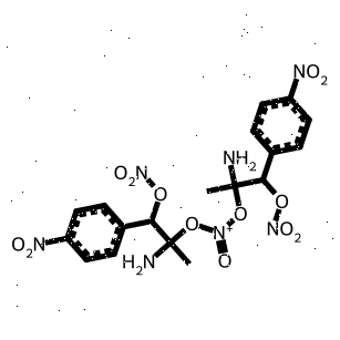 CC(N)(O[N+](=O)OC(C)(N)C(O[N+](=O)[O-])c1ccc([N+](=O)[O-])cc1)C(O[N+](=O)[O-])c1ccc([N+](=O)[O-])cc1